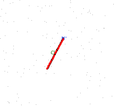 CCCCCCCCCCCCCCCCCCCCCCCCCCCCCCCCCCCCCCCCCCCCCCCCC[N+](C)(C)C.[Cl-]